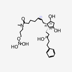 CN(CCCON(O)O)C(=O)CCC/C=C\C[C@@H]1[C@@H](CC[C@@H](O)CCc2ccccc2)[C@H](O)C[C@@H]1O